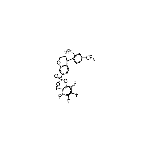 CCCc1cc(C(F)(F)F)ccc1C1CCOc2cc(S(=O)(=O)Oc3c(F)c(F)c(F)c(F)c3F)ccc21